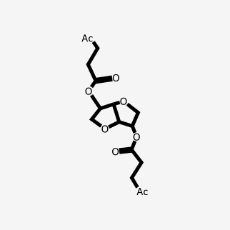 CC(=O)CCC(=O)OC1COC2C(OC(=O)CCC(C)=O)COC12